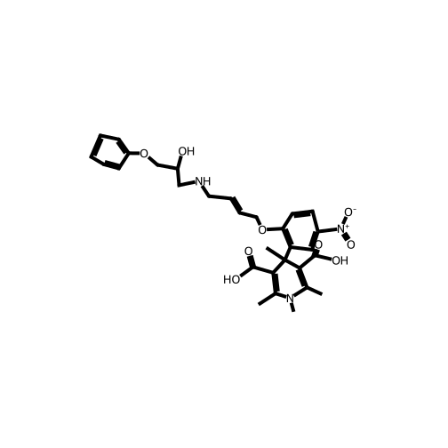 CC1=C(C(=O)O)C(C)(c2cc([N+](=O)[O-])ccc2OC/C=C/CNCC(O)COc2ccccc2)C(C(=O)O)=C(C)N1C